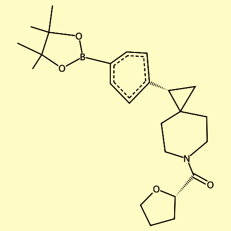 CC1(C)OB(c2ccc([C@@H]3CC34CCN(C(=O)[C@@H]3CCCO3)CC4)cc2)OC1(C)C